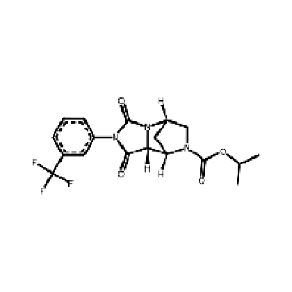 CC(C)OC(=O)N1C[C@@H]2C[C@H]1[C@@H]1C(=O)N(c3cccc(C(F)(F)F)c3)C(=O)N21